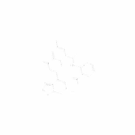 Cc1cc(C(C)Nc2ccccc2C(=O)OC(C)(C)C)c2oc(-c3cccn4ccnc34)cc(=O)c2c1